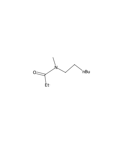 C[CH]C(=O)N(C)CCCCCC